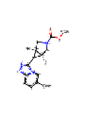 COc1ccc2nnc(C3[C@H]4CN(C(=O)OC(C)(C)C)C[C@@H]34)n2c1